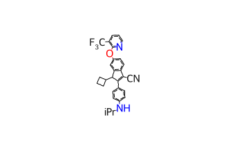 CC(C)Nc1ccc(C2=C(C#N)c3ccc(Oc4ncccc4C(F)(F)F)cc3C2C2CCC2)cc1